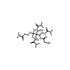 CN(C)C(=S)SSOC(SSC(=S)N(C)C)(SSC(=S)N(C)C)C(CO)(CO)C(OC(=O)CO)SSC(=S)N(C)C